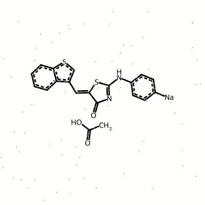 CC(=O)O.O=C1N=C(Nc2cc[c]([Na])cc2)SC1=Cc1csc2ccccc12